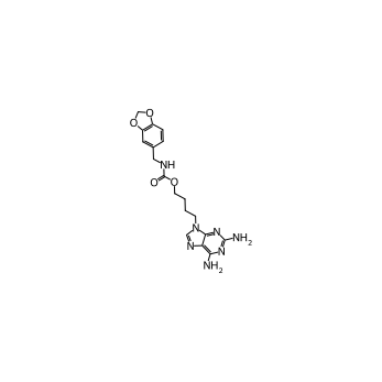 Nc1nc(N)c2ncn(CCCCOC(=O)NCc3ccc4c(c3)OCO4)c2n1